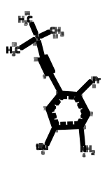 CC(C)c1cc(N)c(C(C)(C)C)cc1C#CS(C)(C)C